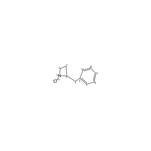 ClN1CCC1Cc1ccccc1